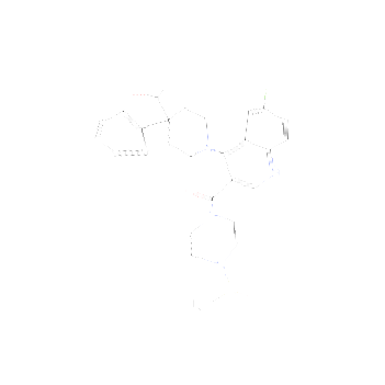 CC(O)C1(c2ccccc2)CCN(c2c(C(=O)N3CCN([S+](C)[O-])CC3)cnc3ccc(F)cc23)CC1